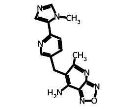 Cc1nc2nonc2c(N)c1Cc1ccc(-c2cncn2C)nc1